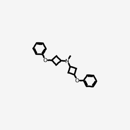 CN(C1CC(Oc2ccccc2)C1)C1CC(Oc2ccccc2)C1